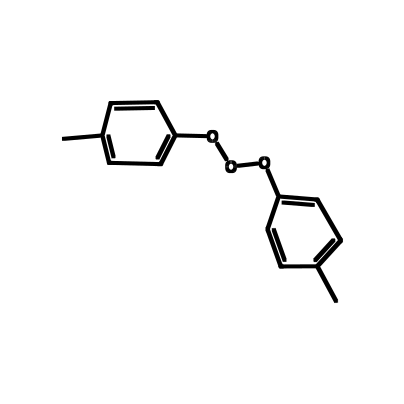 Cc1ccc(OOOc2ccc(C)cc2)cc1